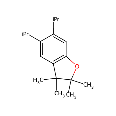 CC(C)c1cc2c(cc1C(C)C)C(C)(C)C(C)(C)O2